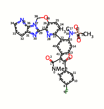 CNC(=O)c1c(-c2ccc(F)cc2)oc2cc(N(C)S(C)(=O)=O)c(-c3ccc4c(n3)-c3nc5cccnc5n3CO4)cc12